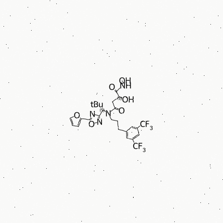 CC(C)(C)[C@@H](c1noc(-c2ccco2)n1)N(CCCc1cc(C(F)(F)F)cc(C(F)(F)F)c1)C(=O)C[C@H](O)C(=O)NO